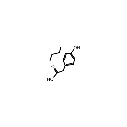 CCCC.O=C(O)Cc1ccc(O)cc1